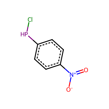 O=[N+]([O-])c1ccc(PCl)cc1